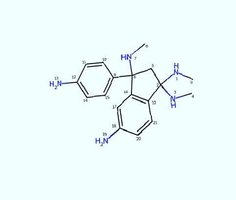 CNC1(NC)CC(NC)(c2ccc(N)cc2)c2cc(N)ccc21